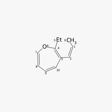 C/C=C\C1=C(CC)OC=CC=C1